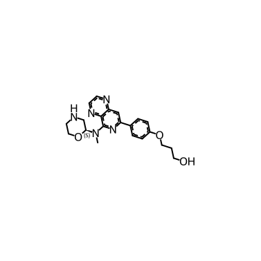 CN(c1nc(-c2ccc(OCCCO)cc2)cc2nccnc12)[C@@H]1CNCCO1